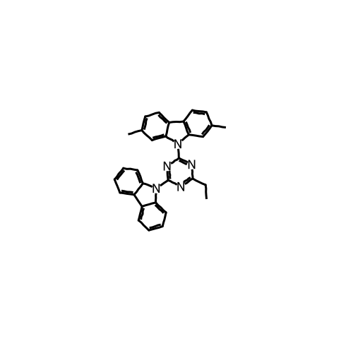 CCc1nc(-n2c3ccccc3c3ccccc32)nc(-n2c3cc(C)ccc3c3ccc(C)cc32)n1